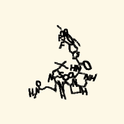 CCOP(=O)(OCC)C(F)(F)c1ccc2sc(C(=O)N[C@H]3CNCC[C@H]4CC[C@@H](C(=O)N[C@@H](CCCC(N)=O)c5ncc(C(C)(C)C)s5)N4C3=O)cc2c1